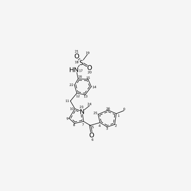 Cc1ccc(C(=O)c2ccc(Cc3cccc(NS(C)(=O)=O)c3)n2C)cc1